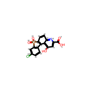 O=C(O)c1cc(O)c2c3c(ccc2n1)S(=O)(=O)c1cc(Cl)ccc1-3